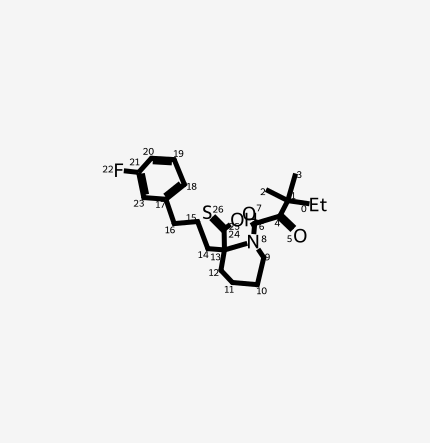 CCC(C)(C)C(=O)C(=O)N1CCCCC1(CCCc1cccc(F)c1)C(O)=S